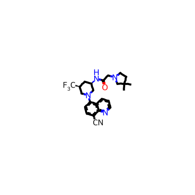 CC1(C)CCN(CC(=O)N[C@@H]2C[C@H](C(F)(F)F)CN(c3ccc(C#N)c4ncccc34)C2)C1